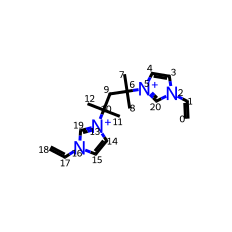 C=Cn1cc[n+](C(C)(C)CC(C)(C)[n+]2ccn(C=C)c2)c1